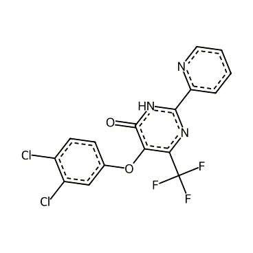 O=c1[nH]c(-c2ccccn2)nc(C(F)(F)F)c1Oc1ccc(Cl)c(Cl)c1